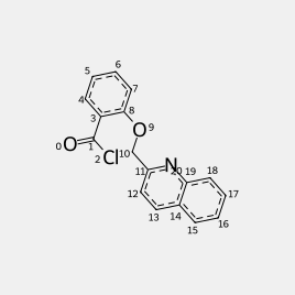 O=C(Cl)c1ccccc1OCc1ccc2ccccc2n1